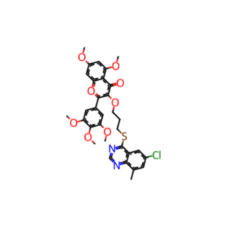 COc1cc(OC)c2c(=O)c(OCCCSc3ncnc4c(C)cc(Cl)cc34)c(-c3cc(OC)c(OC)c(OC)c3)oc2c1